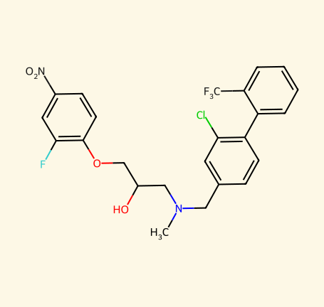 CN(Cc1ccc(-c2ccccc2C(F)(F)F)c(Cl)c1)CC(O)COc1ccc([N+](=O)[O-])cc1F